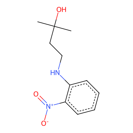 CC(C)(O)CCNc1ccccc1[N+](=O)[O-]